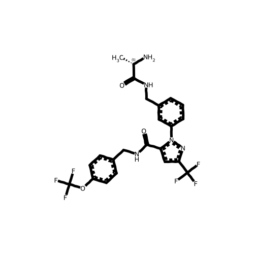 C[C@H](N)C(=O)NCc1cccc(-n2nc(C(F)(F)F)cc2C(=O)NCc2ccc(OC(F)(F)F)cc2)c1